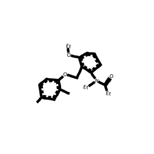 CCOc1cccc(N(CC)C(=O)CC)c1COc1ccc(C)cc1C